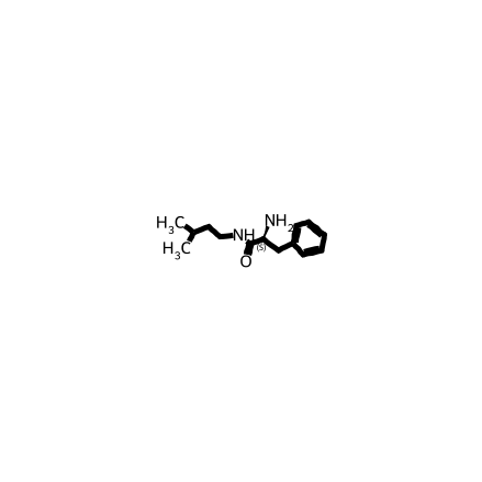 CC(C)CCNC(=O)[C@@H](N)Cc1ccccc1